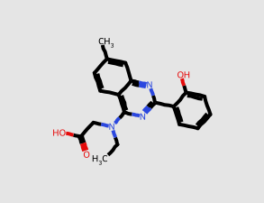 CCN(CC(=O)O)c1nc(-c2ccccc2O)nc2cc(C)ccc12